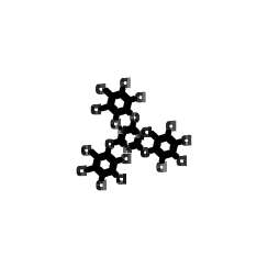 Clc1c(Cl)c(Cl)c(Oc2nc(Oc3c(Cl)c(Cl)c(Cl)c(Cl)c3Cl)nc(Oc3c(Cl)c(Cl)c(Cl)c(Cl)c3Cl)n2)c(Cl)c1Cl